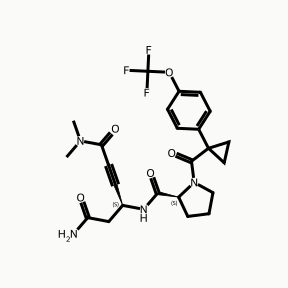 CN(C)C(=O)C#C[C@H](CC(N)=O)NC(=O)[C@@H]1CCCN1C(=O)C1(c2ccc(OC(F)(F)F)cc2)CC1